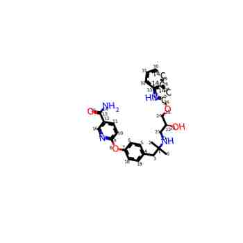 CC(C)(Cc1ccc(Oc2ccc(C(N)=O)cn2)cc1)NC[C@H](O)CO[14c]1[14cH][14c]2[14cH]cccc2[nH]1